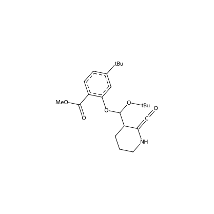 COC(=O)c1ccc(C(C)(C)C)cc1OC(OC(C)(C)C)C1CCCNC1=C=O